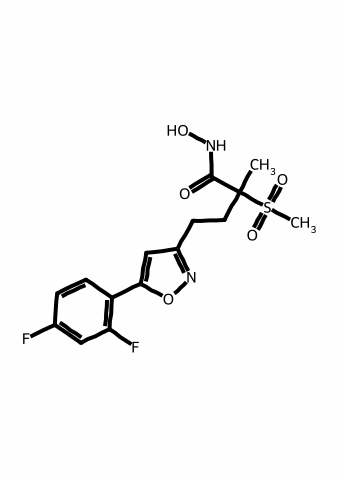 CC(CCc1cc(-c2ccc(F)cc2F)on1)(C(=O)NO)S(C)(=O)=O